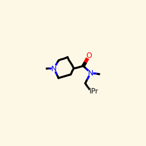 CC(C)CN(C)C(=O)C1CCN(C)CC1